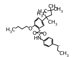 CC[CH]c1ccc(NS(=O)(=O)c2cc(C(C)(C)CC(C)(C)C)ccc2OCCCC)cc1